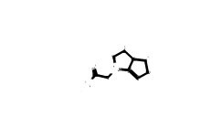 NC(=O)CN1CCC2CCC=C21